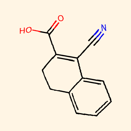 N#CC1=C(C(=O)O)CCc2ccccc21